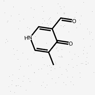 Cc1c[nH]cc(C=O)c1=O